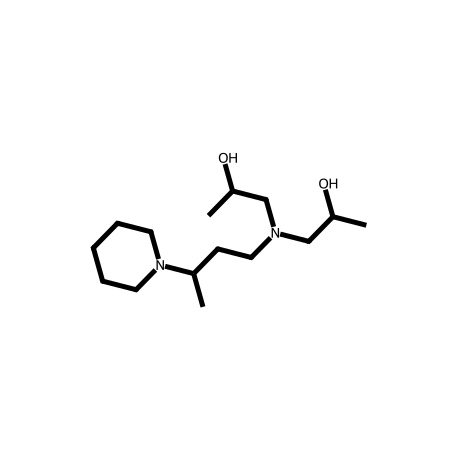 CC(O)CN(CCC(C)N1CCCCC1)CC(C)O